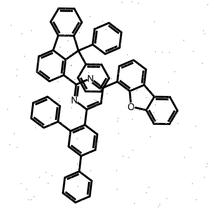 c1ccc(-c2ccc(-c3cc(-c4cccc5c4oc4ccccc45)nc(-c4cccc5c4C(c4ccccc4)(c4ccccc4)c4ccccc4-5)n3)c(-c3ccccc3)c2)cc1